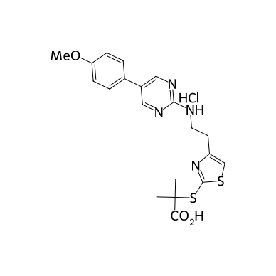 COc1ccc(-c2cnc(NCCc3csc(SC(C)(C)C(=O)O)n3)nc2)cc1.Cl